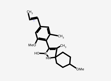 C/C=C/c1cc(C)c(C2=C(C)C3(CCC(OC)CC3)NB2O)c(OC)c1